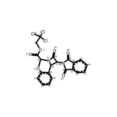 O=C(OCC(Cl)(Cl)Cl)C1Oc2ccccc2C2C(N3C(=O)c4ccccc4C3=O)C(=O)N12